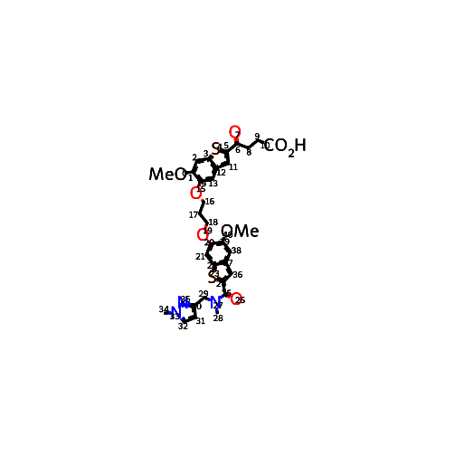 COc1cc2sc(C(=O)CCC(=O)O)cc2cc1OCCCOc1cc2sc(C(=O)N(C)Cc3ccn(C)n3)cc2cc1OC